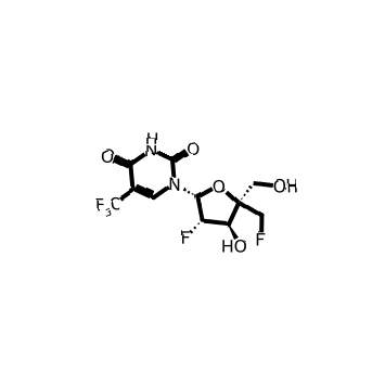 O=c1[nH]c(=O)n([C@@H]2O[C@@](CO)(CF)[C@@H](O)[C@@H]2F)cc1C(F)(F)F